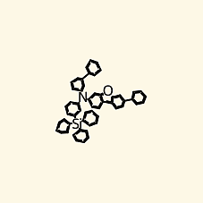 c1ccc(-c2cccc(N(c3cccc([Si](c4ccccc4)(c4ccccc4)c4ccccc4)c3)c3ccc4c(c3)oc3cc(-c5ccccc5)ccc34)c2)cc1